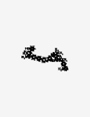 Cc1ncsc1-c1ccc([C@H](C)NC(=O)[C@@H]2C[C@@H](O)CN2C(=O)C(c2cc(N3CCC(CN4CCN(c5cnc(N6CCC(n7nc(N)c(N)c7/C=C(\N)c7ccccc7O)CC6)nc5)CC4)CC3)no2)C(C)C)cc1